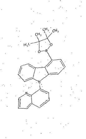 CC1(C)OB(c2cccc3c2c2ccccc2n3-c2cccc3cccnc23)OC1(C)C